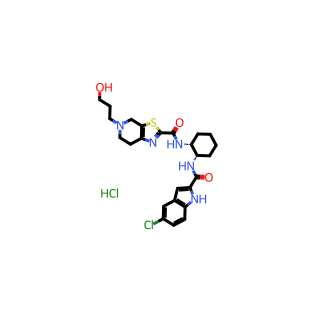 Cl.O=C(N[C@H]1CCCC[C@H]1NC(=O)c1nc2c(s1)CN(CCCO)CC2)c1cc2cc(Cl)ccc2[nH]1